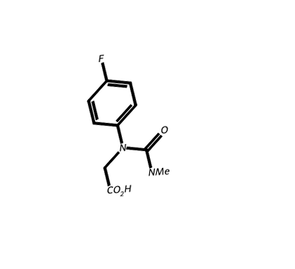 CNC(=O)N(CC(=O)O)c1ccc(F)cc1